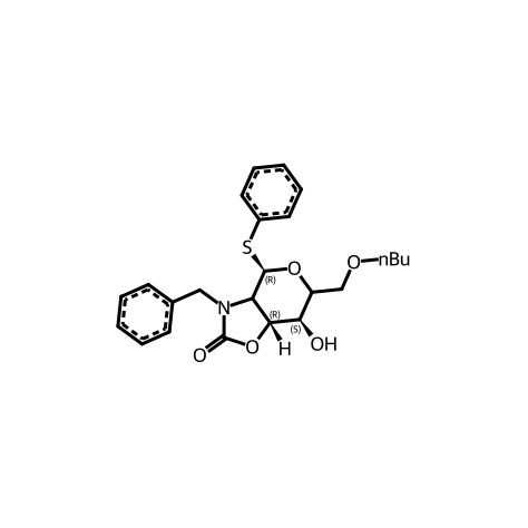 CCCCOCC1O[C@H](Sc2ccccc2)C2[C@@H](OC(=O)N2Cc2ccccc2)[C@@H]1O